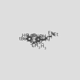 CCN(CC)CCOCCC(C)(C)c1cc(SC(C)(C)Sc2cc(C(C)(C)C)c(O)c(C(C)(C)C)c2)cc(C(C)(C)C)c1O